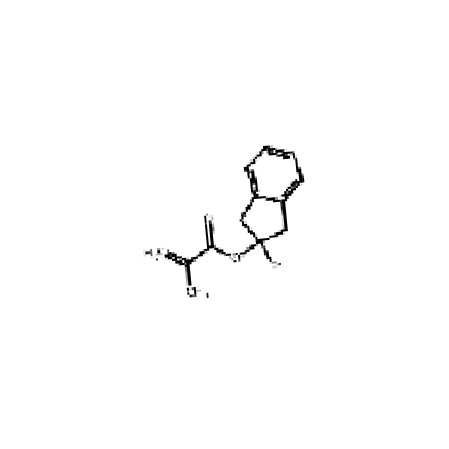 C=C(C)C(=O)OC1(CC)Cc2ccccc2C1